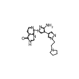 Nc1nn(-c2nccc3c(=O)[nH]cnc23)cc1-c1cnn(CCN2CCCC2)c1